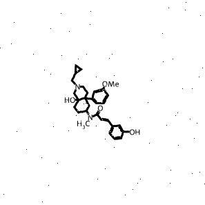 COc1cccc(C23CCN(CC4CC4)CC2(O)CCC(N(C)C(=O)/C=C/c2cccc(O)c2)C3)c1